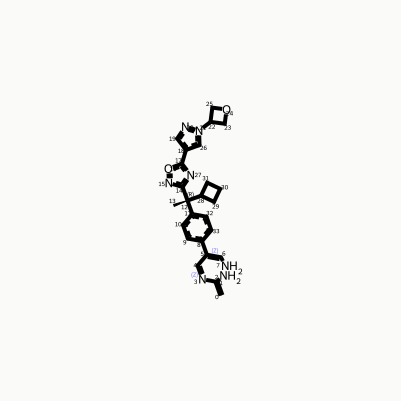 C=C(N)/N=C\C(=C/N)c1ccc([C@](C)(c2noc(-c3cnn(C4COC4)c3)n2)C2CCC2)cc1